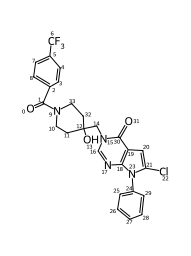 O=C(c1ccc(C(F)(F)F)cc1)N1CCC(O)(Cn2cnc3c(cc(Cl)n3-c3ccccc3)c2=O)CC1